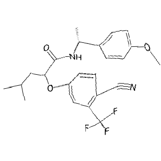 COc1ccc([C@@H](C)NC(=O)C(CC(C)C)Oc2ccc(C#N)c(C(F)(F)F)c2)cc1